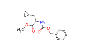 COC(=O)C(CC1CC1)NC(=O)OCc1ccccc1